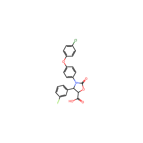 O=C(O)C1OC(=O)N(c2ccc(Oc3ccc(Cl)cc3)cc2)C1c1cccc(F)c1